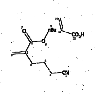 C=C(CCCC#N)C(=O)OCCCC.C=CC(=O)O